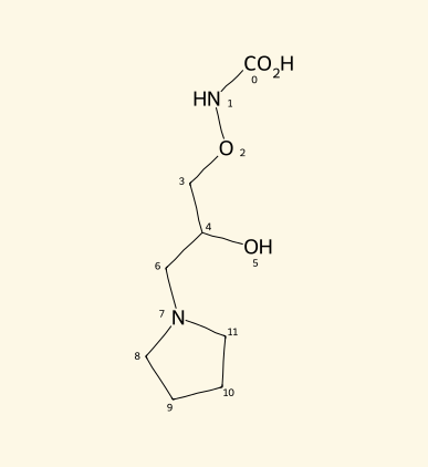 O=C(O)NOCC(O)CN1CCCC1